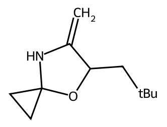 C=C1NC2(CC2)OC1CC(C)(C)C